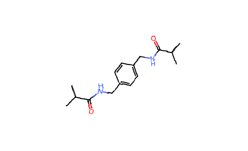 CC(C)C(=O)NCc1ccc(CNC(=O)C(C)C)cc1